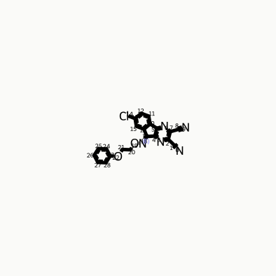 N#Cc1nc2c(nc1C#N)-c1ccc(Cl)cc1/C2=N\OCCOc1ccccc1